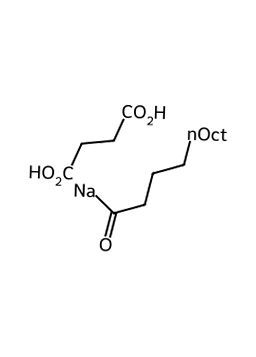 CCCCCCCCCCC[C](=O)[Na].O=C(O)CCC(=O)O